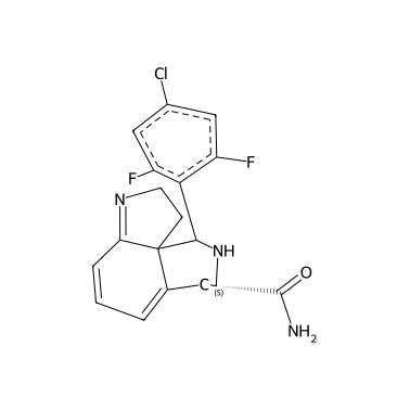 NC(=O)[C@@H]1CC2=CC=CC3=NCCC23C(c2c(F)cc(Cl)cc2F)N1